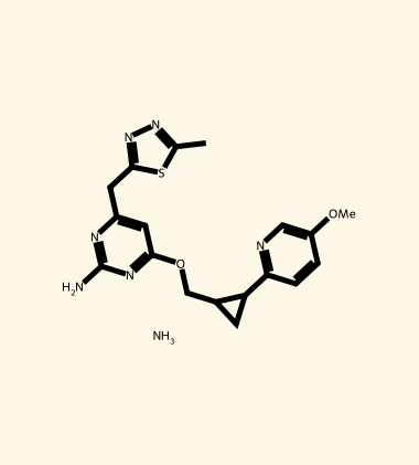 COc1ccc(C2CC2COc2cc(Cc3nnc(C)s3)nc(N)n2)nc1.N